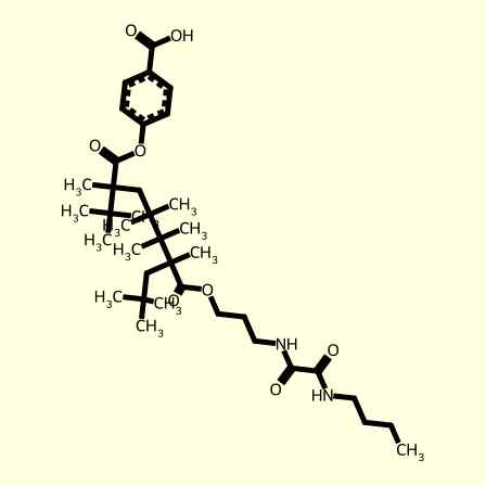 CCCCNC(=O)C(=O)NCCCOC(=O)C(C)(CC(C)(C)C)C(C)(C)C(C)(C)CC(C)(C(=O)Oc1ccc(C(=O)O)cc1)C(C)(C)C